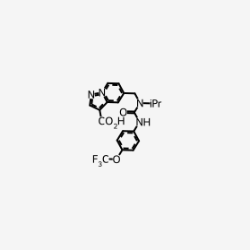 CC(C)N(Cc1ccn2ncc(C(=O)O)c2c1)C(=O)Nc1ccc(OC(F)(F)F)cc1